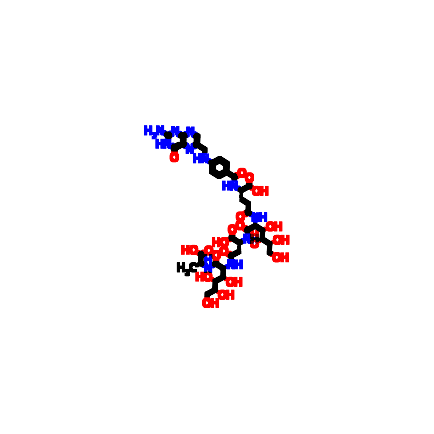 C[C@H](NC(=O)[C@@H](NC(=O)C[C@H](NC(=O)[C@@H](NC(=O)CC[C@H](NC(=O)c1ccc(NCc2cnc3nc(N)[nH]c(=O)c3n2)cc1)C(=O)O)[C@@H](O)[C@H](O)[C@H](O)CO)C(=O)O)[C@@H](O)[C@H](O)[C@H](O)CO)C(=O)O